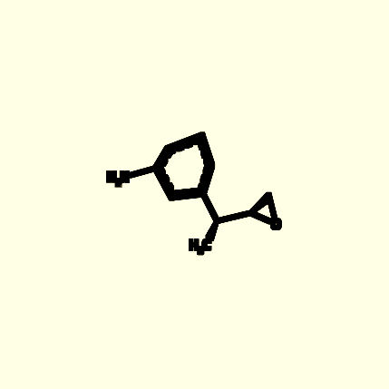 C[C@@H](c1cccc(N)c1)[C@H]1CO1